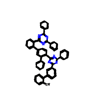 N#Cc1ccccc1-c1cccc(-c2nc(-c3ccccc3)nc(-c3ccc(-c4ccccc4-c4nc(-c5ccccc5)nc(-c5ccccc5)n4)cc3-c3ccccc3)n2)c1